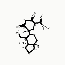 COC(=O)C1C[C@](C)(C2CC[C@]3(C)CCC[C@H]3C2CC#N)C(=O)CC1=O